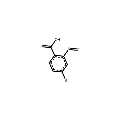 O=Nc1cc(Br)ccc1C(=O)O